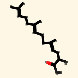 COC(=O)C(C/C=C(\C)CC/C=C(\C)CCC=C(C)C)C(C)=O